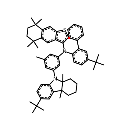 Cc1cc(N(c2ccc(C(C)(C)C)cc2-c2ccccc2)c2csc3cc4c(cc23)C(C)(C)CCC4(C)C)cc(N2c3ccc(C(C)(C)C)cc3C3(C)CCCCC23C)c1